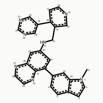 Cn1ccc2ccc(-c3cc(NCc4cnccc4-c4cncnc4)cc4nccnc34)cc21